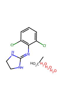 CC(=O)O.Clc1cccc(Cl)c1N=C1NCCN1.O.O.O